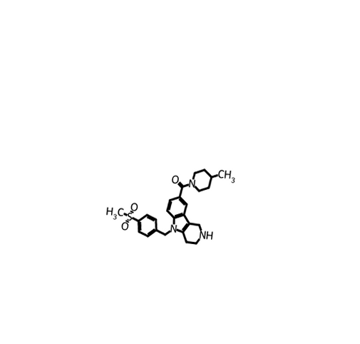 CC1CCN(C(=O)c2ccc3c(c2)c2c(n3Cc3ccc(S(C)(=O)=O)cc3)CCNC2)CC1